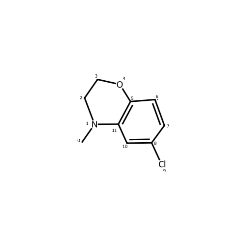 CN1CCOc2[c]cc(Cl)cc21